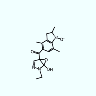 CCN1N=CC2(C(=O)c3cc(C)c4c(c3C)CC(C)[S+]4[O-])OC12O